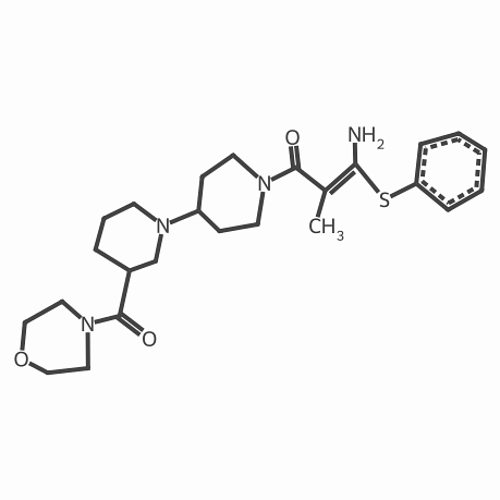 C/C(C(=O)N1CCC(N2CCCC(C(=O)N3CCOCC3)C2)CC1)=C(/N)Sc1ccccc1